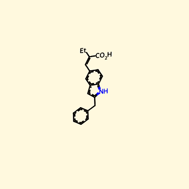 CCC(=Cc1ccc2[nH]c(Cc3ccccc3)cc2c1)C(=O)O